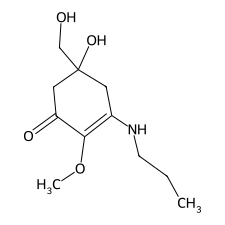 CCCNC1=C(OC)C(=O)CC(O)(CO)C1